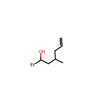 C=CCC(C)CC(O)CC